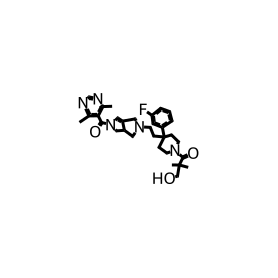 Cc1ncnc(C)c1C(=O)N1C=C2CN(CCC3(c4cccc(F)c4)CCN(C(=O)C(C)(C)CO)CC3)CC2C1